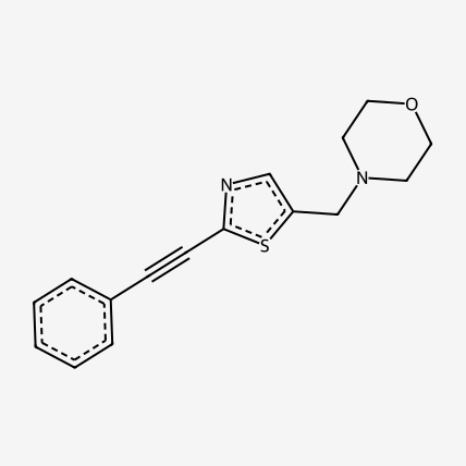 C(#Cc1ncc(CN2CCOCC2)s1)c1ccccc1